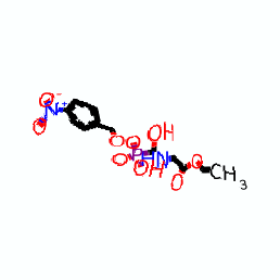 CCOC(=O)CNC(O)P(=O)(O)OOCc1ccc([N+](=O)[O-])cc1